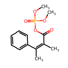 COP(=O)(OC)OC(=O)/C(C)=C(/C)c1ccccc1